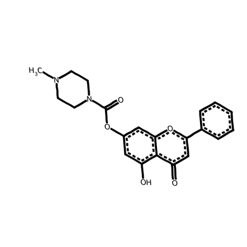 CN1CCN(C(=O)Oc2cc(O)c3c(=O)cc(-c4ccccc4)oc3c2)CC1